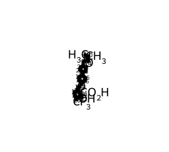 CN(C)C(=O)Cc1ccc(-c2ccc(OCc3ccc(C(F)(F)F)c(O)c3C(=O)O)cc2)cc1